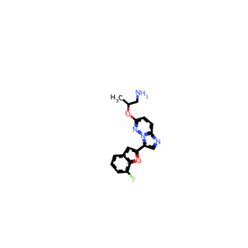 CC(CN)Oc1ccc2ncc(-c3cc4cccc(F)c4o3)n2n1